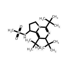 CC(C)(C)C1=NC(C(C)(C)C)C(C(C)(C)C)=C2C(NS(C)(=O)=O)CCN12